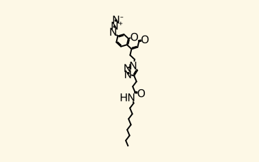 CCCCCCCCCNC(=O)CCc1cn(CCc2cc(=O)oc3cc(N=[N+]=[N-])ccc23)nn1